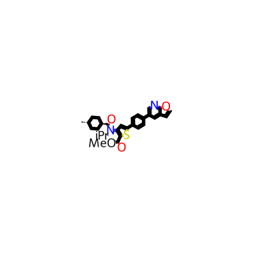 COC(=O)c1sc(-c2ccc(-c3cnc4occc4c3)cc2)cc1N(C(=O)[C@H]1CC[C@H](C)CC1)C(C)C